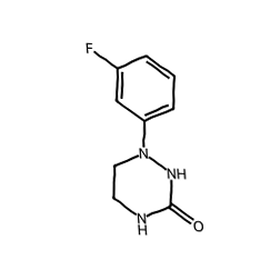 O=C1NCCN(c2cccc(F)c2)N1